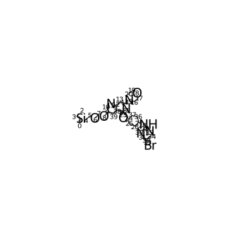 C[Si](C)(C)CCOCOc1cnc2cc(N3CCOCC3)nc(OC3CCC(Nc4ncc(Br)cn4)CC3)c2c1